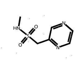 CNS(=O)(=O)Cc1cnccn1